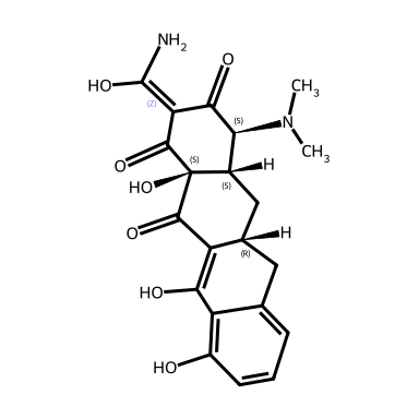 CN(C)[C@@H]1C(=O)/C(=C(\N)O)C(=O)[C@@]2(O)C(=O)C3=C(O)c4c(O)cccc4C[C@H]3C[C@@H]12